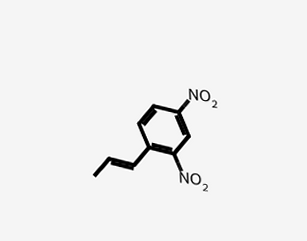 C/C=C/c1ccc([N+](=O)[O-])cc1[N+](=O)[O-]